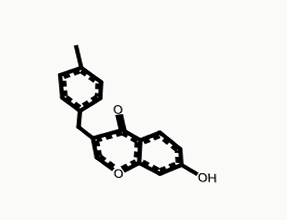 Cc1ccc(Cc2coc3cc(O)ccc3c2=O)cc1